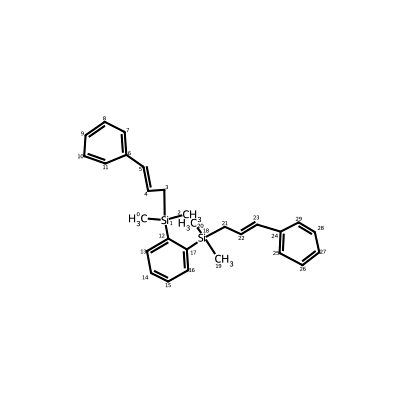 C[Si](C)(CC=Cc1ccccc1)c1ccccc1[Si](C)(C)CC=Cc1ccccc1